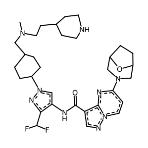 CN(CCC1CCNCC1)CC1CCC(n2cc(NC(=O)c3cnn4ccc(N5CC6CCC(C5)O6)nc34)c(C(F)F)n2)CC1